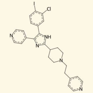 Clc1cc(-c2[nH]c(C3CCN(CCc4ccncc4)CC3)nc2-c2ccncc2)ccc1I